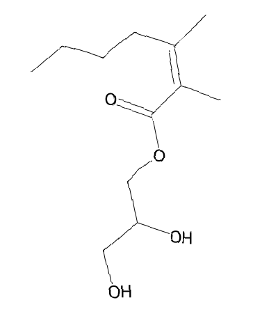 CCCCC(C)=C(C)C(=O)OCC(O)CO